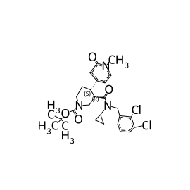 Cn1ccc([C@H]2CCN(C(=O)OC(C)(C)C)C[C@@H]2C(=O)N(Cc2cccc(Cl)c2Cl)C2CC2)cc1=O